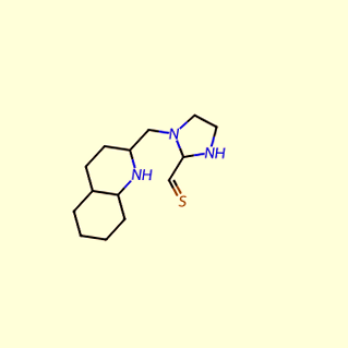 S=CC1NCCN1CC1CCC2CCCCC2N1